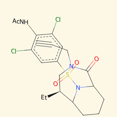 C#CCN1C[C@H](CC)C2CCCC(C1=O)N2S(=O)(=O)c1cc(Cl)c(NC(C)=O)c(Cl)c1